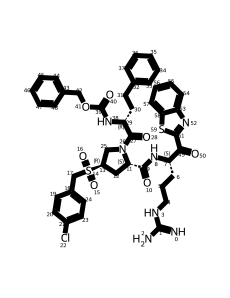 N=C(N)NCCC[C@H](NC(=O)[C@@H]1C[C@@H](S(=O)(=O)Cc2ccc(Cl)cc2)CN1C(=O)[C@@H](CCc1ccccc1)NC(=O)OCc1ccccc1)C(=O)c1nc2ccccc2s1